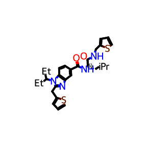 CCC(CC)n1c(Cc2cccs2)nc2cc(C(=O)N[C@@H](CC(C)C)C(=O)NCc3cccs3)ccc21